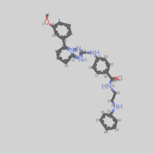 COc1cccc(-c2cccc3nc(Nc4ccc(C(=O)NCCNc5ccccc5)cc4)nn23)c1